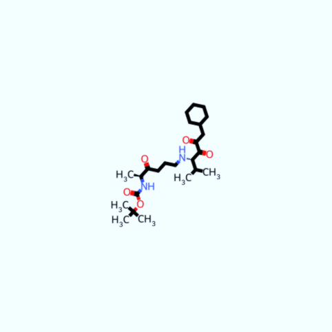 CC(C)[C@H](NCCCC(=O)[C@H](C)NC(=O)OC(C)(C)C)C(=O)C(=O)CC1CCCCC1